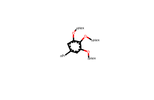 [CH2]CCc1cc(OCCCCCC)c(OCCCCCC)c(OCCCCCC)c1